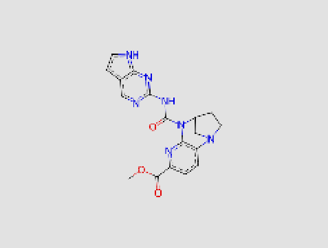 COC(=O)c1ccc2c(n1)N(C(=O)Nc1ncc3cc[nH]c3n1)C1CCN2C1